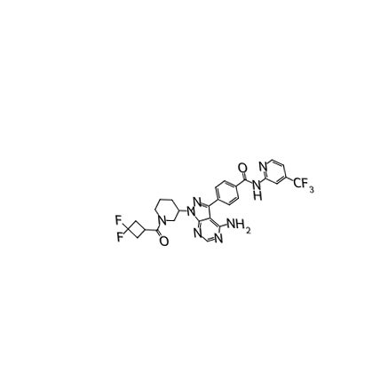 Nc1ncnc2c1c(-c1ccc(C(=O)Nc3cc(C(F)(F)F)ccn3)cc1)nn2C1CCCN(C(=O)C2CC(F)(F)C2)C1